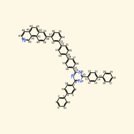 c1ccc(-c2ccc(-c3nc(-c4ccc(-c5ccccc5)cc4)nc(-c4ccc(-c5ccc(-c6cccc(-c7ccc8c(ccc9ccncc98)c7)c6)cc5)cc4)n3)cc2)cc1